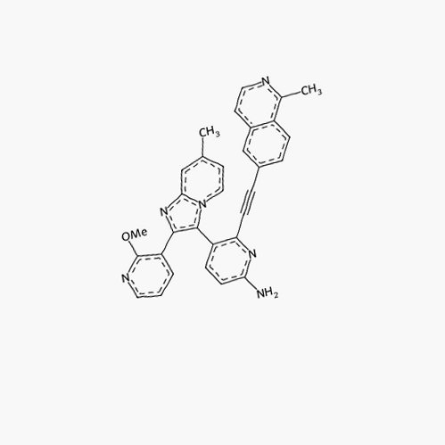 COc1ncccc1-c1nc2cc(C)ccn2c1-c1ccc(N)nc1C#Cc1ccc2c(C)nccc2c1